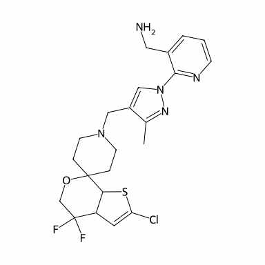 Cc1nn(-c2ncccc2CN)cc1CN1CCC2(CC1)OCC(F)(F)C1C=C(Cl)SC12